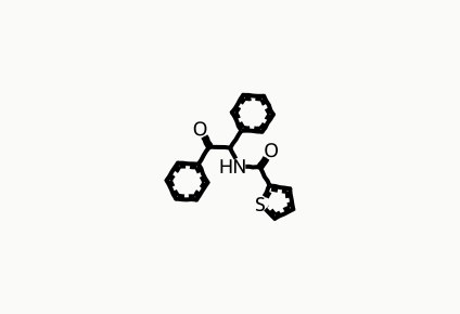 O=C(NC(C(=O)c1ccccc1)c1ccccc1)c1cccs1